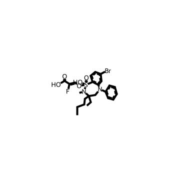 CCCCC1(CC)CN(c2ccccc2)c2cc(Br)ccc2S(=O)(O)(O/C=C(\F)C(=O)O)N1C